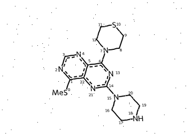 CSc1ncnc2c(N3CCSCC3)nc(N3CCNCC3)nc12